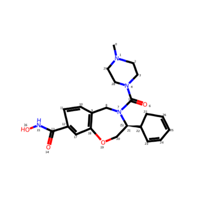 CN1CCN(C(=O)N2Cc3ccc(C(=O)NO)cc3OC[C@@H]2C2C=CC=CC2)CC1